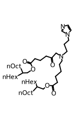 CCCCCCCCC(CCCCCC)COC(=O)CCCCCN(CCCn1ccnc1)CC(=O)CCCC(=O)OCC(CCCCCC)CCCCCCCC